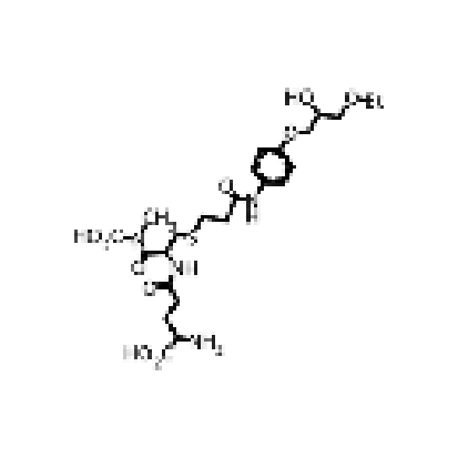 CCOCC(O)COc1ccc(NC(=O)CCSCC(NC(=O)CCC(N)C(=O)O)C(=O)N(C)C(=O)O)cc1